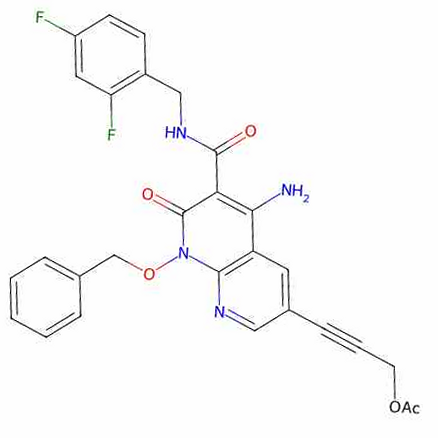 CC(=O)OCC#Cc1cnc2c(c1)c(N)c(C(=O)NCc1ccc(F)cc1F)c(=O)n2OCc1ccccc1